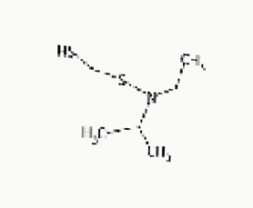 CCN(SCS)C(C)C